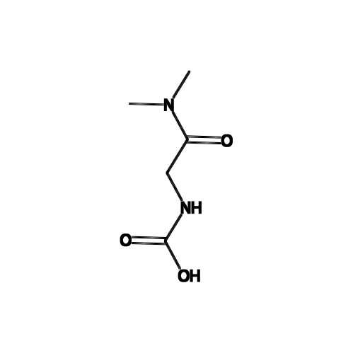 CN(C)C(=O)CNC(=O)O